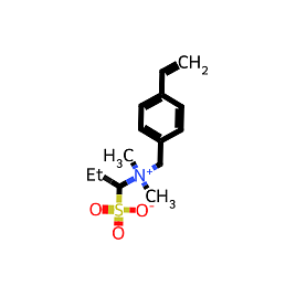 C=Cc1ccc(C[N+](C)(C)C(CC)S(=O)(=O)[O-])cc1